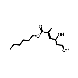 CCCCCCOC(=O)C(C)=CC(O)CCO